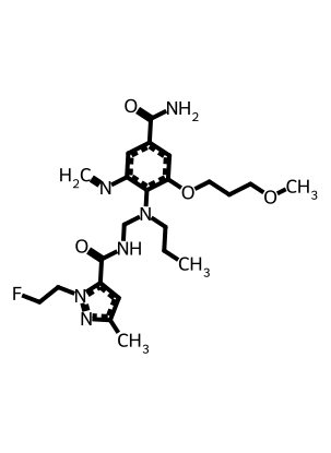 C=Nc1cc(C(N)=O)cc(OCCCOC)c1N(CCC)CNC(=O)c1cc(C)nn1CCF